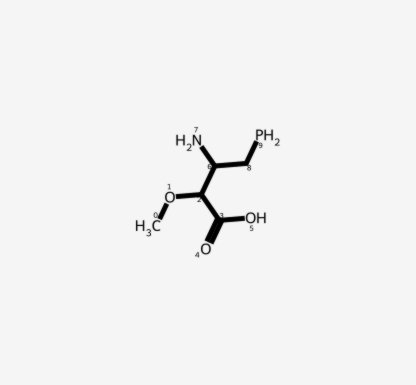 COC(C(=O)O)C(N)CP